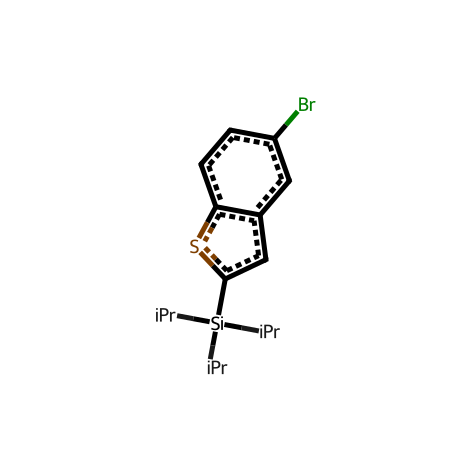 CC(C)[Si](c1cc2cc(Br)ccc2s1)(C(C)C)C(C)C